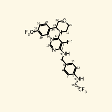 Fc1c(NCc2ccc(NSC(F)(F)F)cc2)ncnc1N1CCOCC1c1ccc(C(F)(F)F)cc1